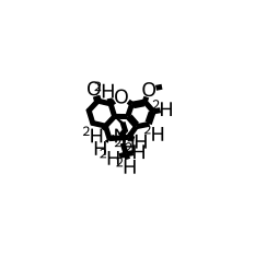 [2H]c1c([2H])c2c3c(c1OC)OC1([2H])C(=O)CC[C@@]4([2H])[C@H](N(C([2H])([2H])[2H])CC[C@]314)C2([2H])[2H]